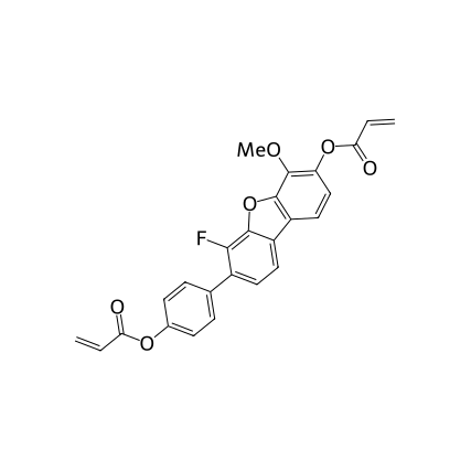 C=CC(=O)Oc1ccc(-c2ccc3c(oc4c(OC)c(OC(=O)C=C)ccc43)c2F)cc1